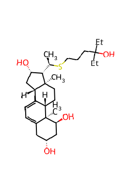 CCC(O)(CC)CCCS[C@H](C)[C@H]1[C@@H](O)C[C@H]2C3=CC=C4C[C@@H](O)C[C@H](O)[C@]4(C)[C@H]3CC[C@]12C